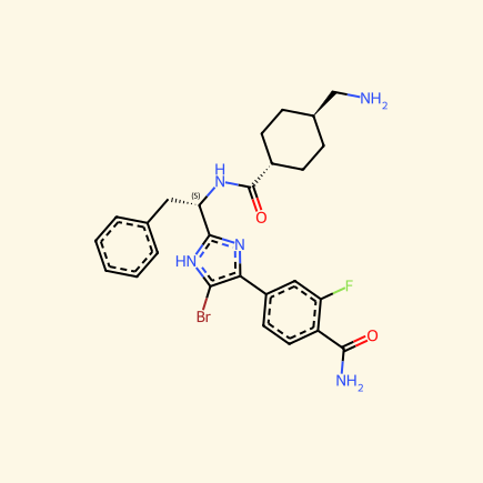 NC[C@H]1CC[C@H](C(=O)N[C@@H](Cc2ccccc2)c2nc(-c3ccc(C(N)=O)c(F)c3)c(Br)[nH]2)CC1